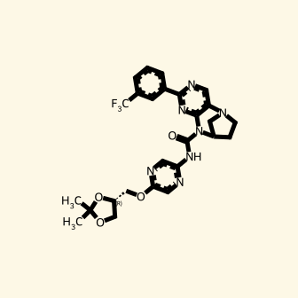 CC1(C)OC[C@@H](COc2cnc(NC(=O)N3c4nc(-c5cccc(C(F)(F)F)c5)ncc4N4CCC3C4)cn2)O1